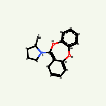 CC(=O)C1CCCN1C1=C2CC=CC=C2Oc2ccccc2O1